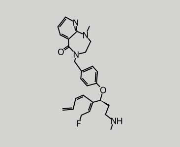 C=C/C=C\C(=C/CF)[C@H](CCNC)Oc1ccc(CN2CCN(C)c3ncccc3C2=O)cc1